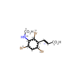 O=C(O)/C=C/c1c(Br)cc(Br)c(NC(=O)O)c1Br